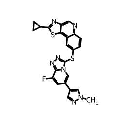 Cn1cc(-c2cc(F)c3nnc(Sc4ccc5ncc6nc(C7CC7)sc6c5c4)n3c2)cn1